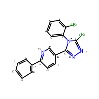 Brc1ccccc1-n1c(Br)nnc1-c1ccc(-c2ccccc2)nc1